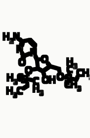 CC[Si](C)(C)OCC1OC(n2ccc(N)nc2=O)C(O[Si](C)(C)CC)C1O